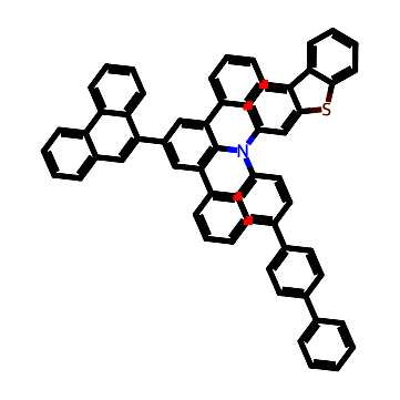 c1ccc(-c2ccc(-c3ccc(N(c4ccc5c(c4)sc4ccccc45)c4c(-c5ccccc5)cc(-c5cc6ccccc6c6ccccc56)cc4-c4ccccc4)cc3)cc2)cc1